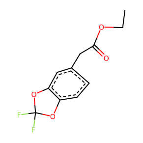 CCOC(=O)Cc1ccc2c(c1)OC(F)(F)O2